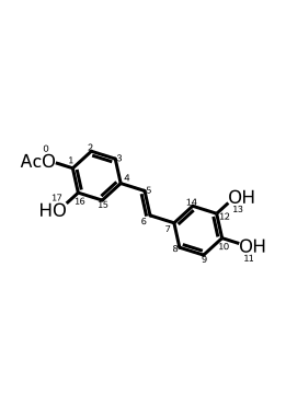 CC(=O)Oc1ccc(C=Cc2ccc(O)c(O)c2)cc1O